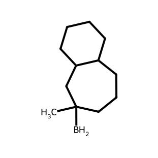 BC1(C)CCCC2CCCCC2C1